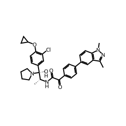 Cc1nn(C)c2ccc(-c3ccc(C(=O)C(=O)N[C@H](C)[C@](O)(c4ccc(OC5CC5)c(Cl)c4)N4CCCC4)cc3)cc12